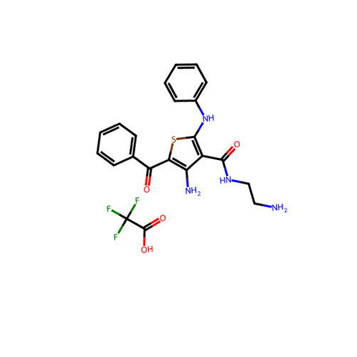 NCCNC(=O)c1c(Nc2ccccc2)sc(C(=O)c2ccccc2)c1N.O=C(O)C(F)(F)F